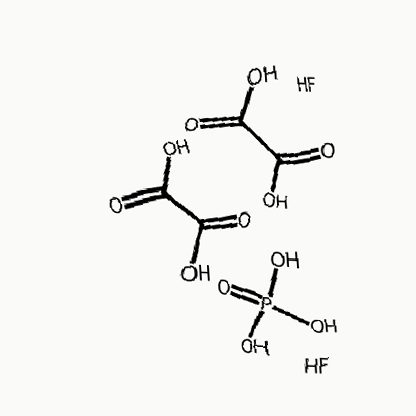 F.F.O=C(O)C(=O)O.O=C(O)C(=O)O.O=P(O)(O)O